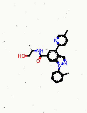 Cc1ccc(-c2cc(C(=O)N[C@@H](C)CO)cc3c2cnn3-c2ccccc2C)nc1